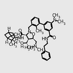 Cc1c(CN2O[C@@H](CN(C)C)[C@@H]([C@H](C)O)[C@H]2C(=O)NC2C[C@H]3C[C@@H]([C@@H]2C)C3(C)C)cccc1-c1cc(C(=O)NCCc2ccccc2)cc(N(C)C)c1